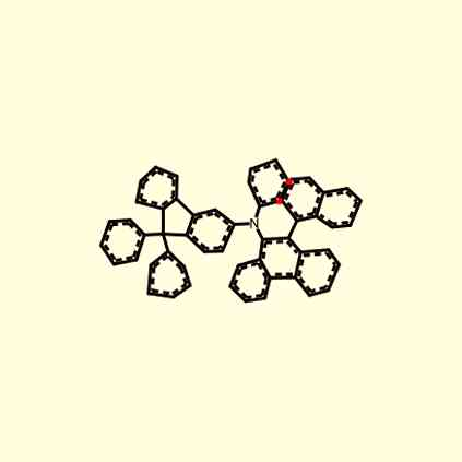 c1ccc(N(c2ccc3c(c2)-c2ccccc2C3(c2ccccc2)c2ccccc2)c2c(-c3cccc4ccccc34)c3ccccc3c3ccccc23)cc1